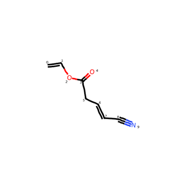 C=COC(=O)CC=CC#N